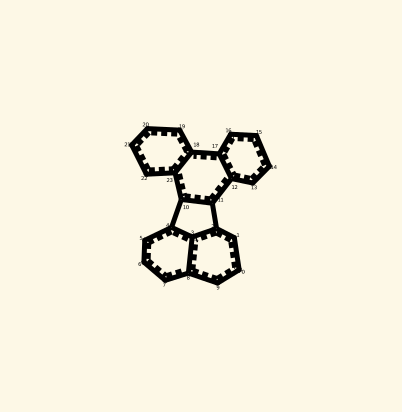 [c]1cc2c3c(cccc3c1)-c1c-2c2ccccc2c2ccccc12